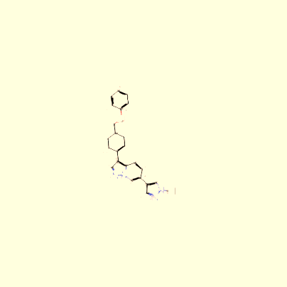 Cn1cc(-c2ccc3c(C4=CCC(COc5ccccc5)CC4)cnn3c2)cn1